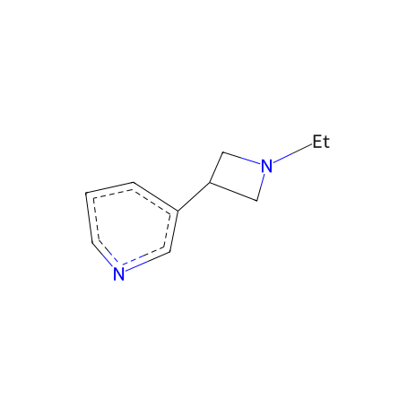 CCN1CC(c2cccnc2)C1